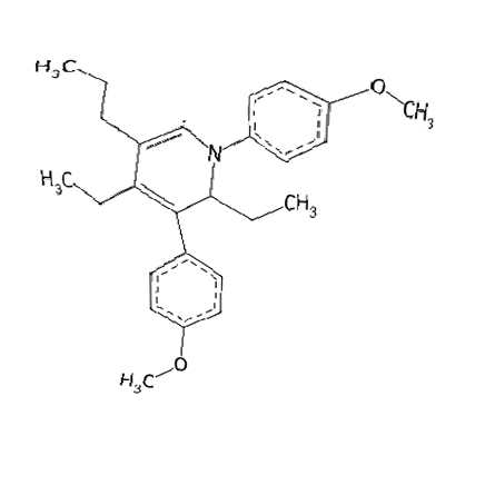 CCCC1=[C]N(c2ccc(OC)cc2)C(CC)C(c2ccc(OC)cc2)=C1CC